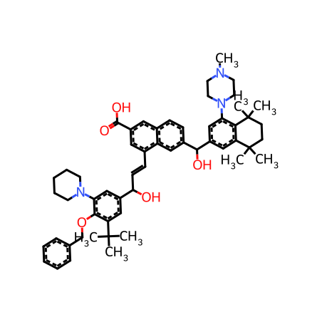 CN1CCN(c2cc(C(O)c3ccc4cc(C(=O)O)cc(C=CC(O)c5cc(N6CCCCC6)c(OCc6ccccc6)c(C(C)(C)C)c5)c4c3)cc3c2C(C)(C)CCC3(C)C)CC1